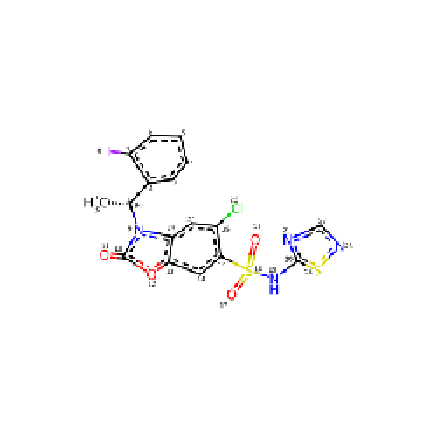 C[C@H](c1ccccc1I)n1c(=O)oc2cc(S(=O)(=O)Nc3ncns3)c(Cl)cc21